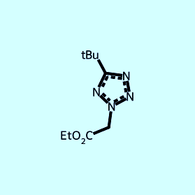 CCOC(=O)Cn1nnc(C(C)(C)C)n1